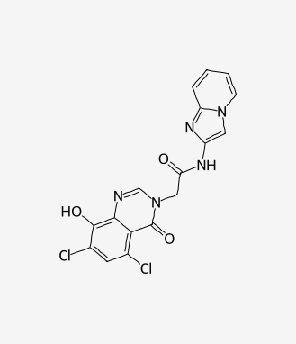 O=C(Cn1cnc2c(O)c(Cl)cc(Cl)c2c1=O)Nc1cn2ccccc2n1